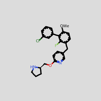 COc1ccc(Cc2ccc(OC[C@H]3CCCN3)nc2)c(F)c1-c1cccc(Cl)c1